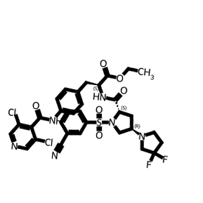 CCOC(=O)[C@H](Cc1ccc(NC(=O)c2c(Cl)cncc2Cl)cc1)NC(=O)[C@@H]1C[C@@H](N2CCC(F)(F)C2)CN1S(=O)(=O)c1cccc(C#N)c1